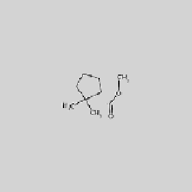 CC1(C)CCCC1.CO[C]=O